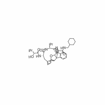 CC(C)[C@H](O)C(=O)N[C@H]1Cc2ccc3c(c2)C2(c4ccccc4NC2O3)c2oc(nc2C(=O)NCC2CCCCC2)[C@H](C(C)C)NC1=O